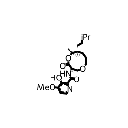 COc1ccnc(C(=O)N[C@H]2COCCC[C@@H](CCC(C)C)[C@H](C)OC2=O)c1O